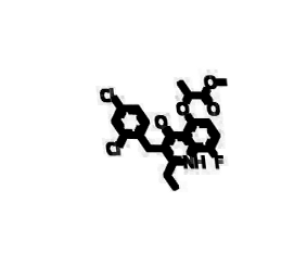 CCc1[nH]c2c(F)ccc(OC(C)C(=O)OC)c2c(=O)c1Cc1ccc(Cl)cc1Cl